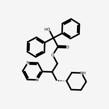 O=C(OCC(C[C@H]1CCCNC1)c1cnccn1)C(O)(c1ccccc1)c1ccccc1